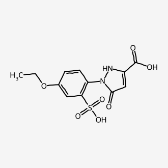 CCOc1ccc(-n2[nH]c(C(=O)O)cc2=O)c(S(=O)(=O)O)c1